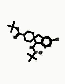 CC(C)(C)OC(=O)N1CCC2(CC1)Cc1cc(Cl)cnc1C2N[S@+]([O-])C(C)(C)C